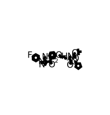 CC(C)(C)OC(=O)N[C@@H](CCCOc1cccc(C(=O)c2cnn(-c3ccc(F)cc3)c2N)c1)C(=O)OC1CCCC1